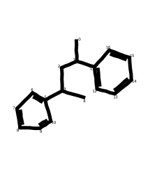 CC([CH]C(C)c1ccccc1)c1ccccc1